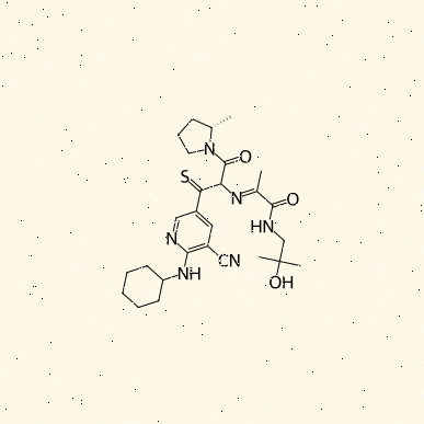 C/C(=N\C(C(=O)N1CCC[C@@H]1C)C(=S)c1cnc(NC2CCCCC2)c(C#N)c1)C(=O)NCC(C)(C)O